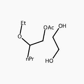 CCCC(COC(C)=O)OCC.OCCO